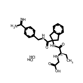 CC[C@@H](NCC(=O)O)C(=O)NC1(C(=O)NCc2ccc(C(=N)N)cc2)Cc2ccccc2C1.Cl.Cl